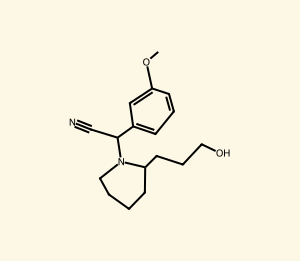 COc1cccc(C(C#N)N2CCCCC2CCCO)c1